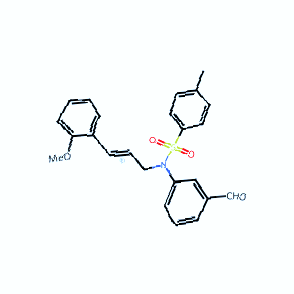 COc1ccccc1/C=C/CN(c1cccc(C=O)c1)S(=O)(=O)c1ccc(C)cc1